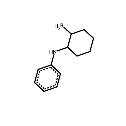 BC1CCCCC1Nc1ccccc1